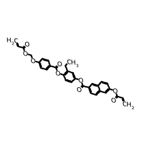 C=CC(=O)OCOc1ccc(C(=O)Oc2ccc(OC(=O)c3ccc4cc(OC(=O)C=C)ccc4c3)cc2CC)cc1